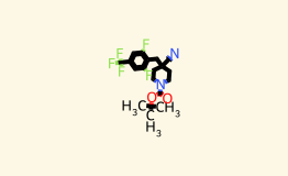 CC(C)(C)OC(=O)N1CCC(C#N)(Cc2c(F)cc(C(F)(F)F)cc2F)CC1